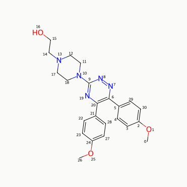 COc1ccc(-c2nnc(N3CCN(CCO)CC3)nc2-c2ccc(OC)cc2)cc1